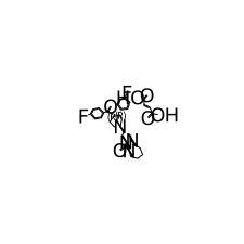 O=C(O)C=CC(=O)O.O=C(c1ccc(F)cc1)[C@@H]1CCN(CCn2nc3n(c2=O)CCCC3)C[C@H]1c1ccc(F)cc1